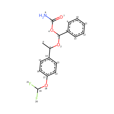 CC(OC(OC(N)=O)c1ccccc1)c1ccc(OC(F)F)cc1